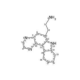 NCCc1cc2nccnc2c2c1[nH]c1ccccc12